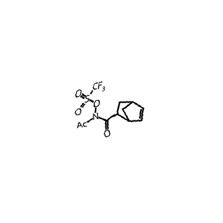 CC(=O)N(OS(=O)(=O)C(F)(F)F)C(=O)C1CC2C=CC1C2